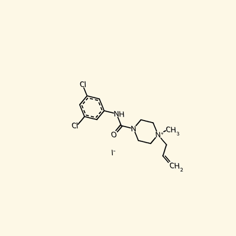 C=CC[N+]1(C)CCN(C(=O)Nc2cc(Cl)cc(Cl)c2)CC1.[I-]